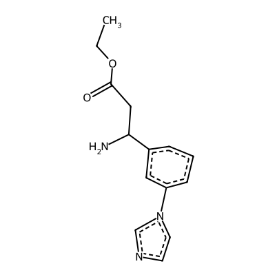 CCOC(=O)CC(N)c1cccc(-n2ccnc2)c1